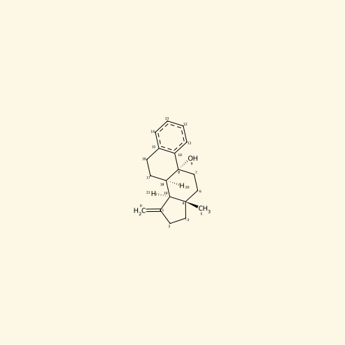 C=C1C[CH][C@@]2(C)CC[C@]3(O)c4ccccc4CC[C@@H]3[C@H]12